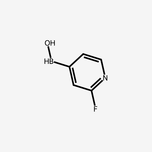 OBc1ccnc(F)c1